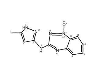 Cc1cc(Nc2nc3ccccc3[n+]([O-])n2)n[nH]1